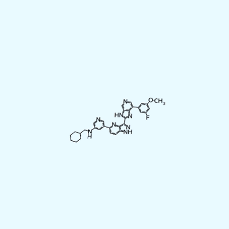 COc1cc(F)cc(-c2cncc3[nH]c(-c4n[nH]c5ccc(-c6cncc(NCC7CCCCC7)c6)nc45)nc23)c1